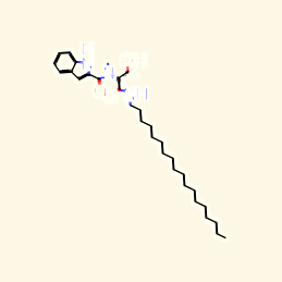 CCCCCCCCCCCCCCCCCCNC(=O)[C@H]([C@@H](C)O)N(C)C(=O)c1cc2ccccc2[nH]1